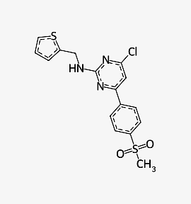 CS(=O)(=O)c1ccc(-c2cc(Cl)nc(NCc3cccs3)n2)cc1